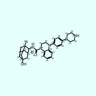 O=C(NC1[C@@H]2CC3C[C@H]1CC(O)(C3)C2)N1CCN(c2ccc(N3CCNCC3)cc2)c2ccccc21